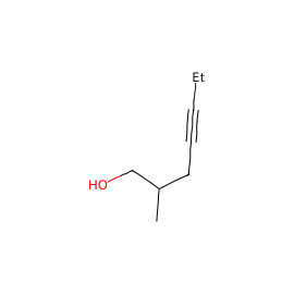 [CH2]CC#CCC(C)CO